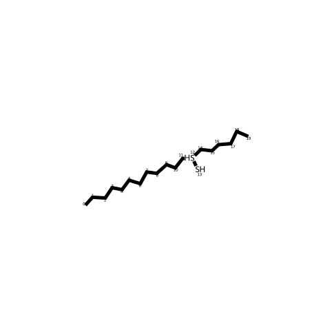 CCCCCCCCCCCC[SH](S)CCCCCC